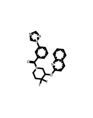 O=C(c1cccc(-n2cncn2)c1)N1CCC(F)(F)C(Oc2ccc3ccccc3n2)C1